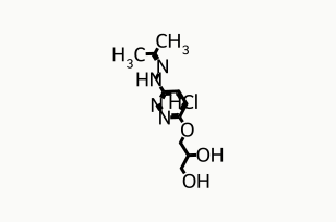 CC(C)=NNc1ccc(OCC(O)CO)nn1.Cl